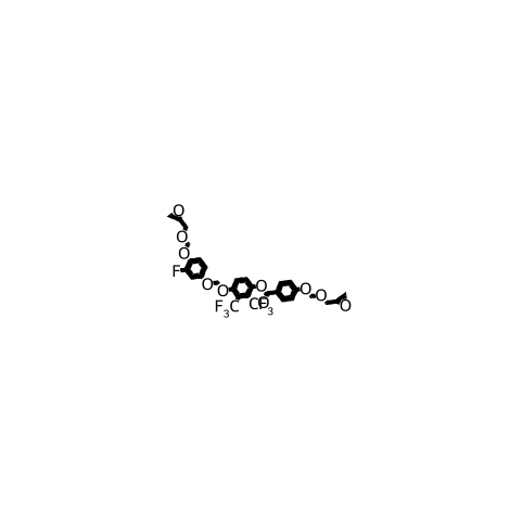 O=C(Oc1ccc(OCOc2ccc(OCOCC3CO3)c(F)c2)c(C(F)(F)F)c1C(F)(F)F)c1ccc(OCOCC2CO2)cc1